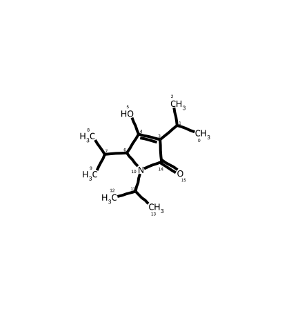 CC(C)C1=C(O)C(C(C)C)N(C(C)C)C1=O